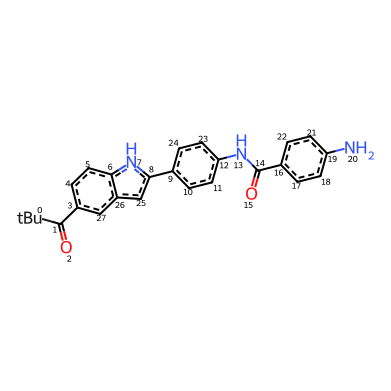 CC(C)(C)C(=O)c1ccc2[nH]c(-c3ccc(NC(=O)c4ccc(N)cc4)cc3)cc2c1